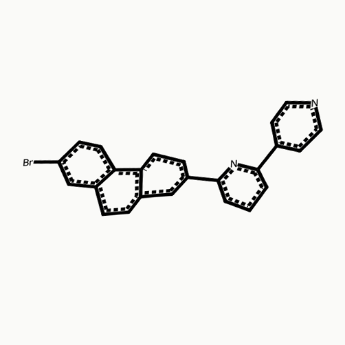 Brc1ccc2c(ccc3cc(-c4cccc(-c5ccncc5)n4)ccc32)c1